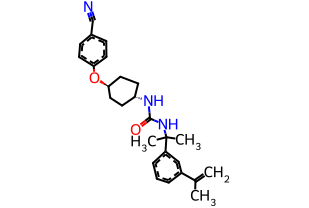 C=C(C)c1cccc(C(C)(C)NC(=O)N[C@H]2CC[C@H](Oc3ccc(C#N)cc3)CC2)c1